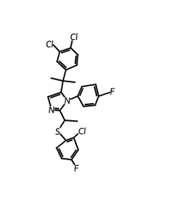 CC(Sc1ccc(F)cc1Cl)c1ncc(C(C)(C)c2ccc(Cl)c(Cl)c2)n1-c1ccc(F)cc1